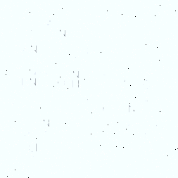 O=C(Nc1ccc(N2CCOCC2=O)cc1)c1nccnc1C(=O)Nc1ccc(Cl)nc1